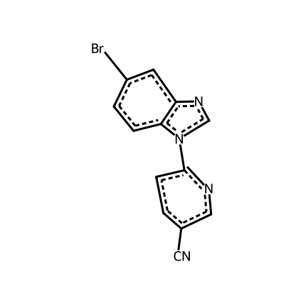 N#Cc1ccc(-n2cnc3cc(Br)ccc32)nc1